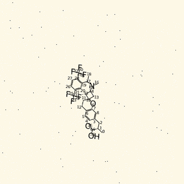 CC(Cc1ccc2c(c1)OC1(CC2)CC(N(C)C(C)c2cc(C(F)(F)F)ccc2C(F)(F)F)C1)C(=O)O